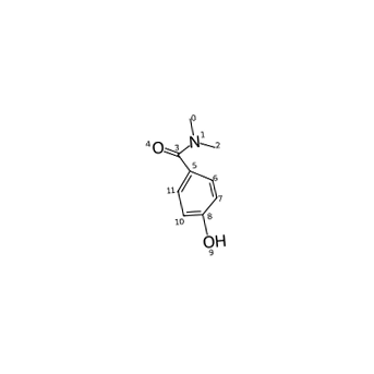 CN(C)C(=O)c1ccc(O)cc1